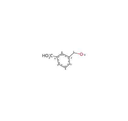 [O]Cc1cccc(C(=O)O)c1